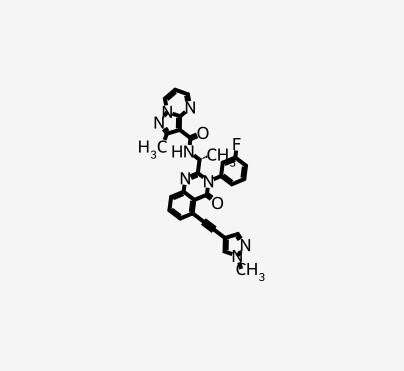 Cc1nn2cccnc2c1C(=O)N[C@H](C)c1nc2cccc(C#Cc3cnn(C)c3)c2c(=O)n1-c1cccc(F)c1